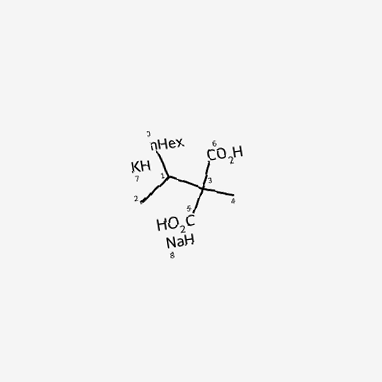 CCCCCCC(C)C(C)(C(=O)O)C(=O)O.[KH].[NaH]